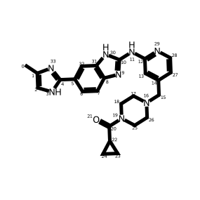 Cc1c[nH]c(-c2ccc3nc(Nc4cc(CN5CCN(C(=O)C6CC6)CC5)ccn4)[nH]c3c2)n1